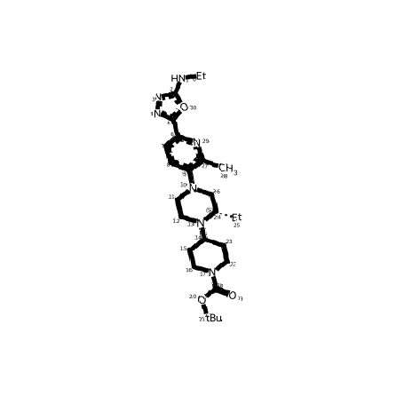 CCNc1nnc(-c2ccc(N3CCN(C4CCN(C(=O)OC(C)(C)C)CC4)[C@@H](CC)C3)c(C)n2)o1